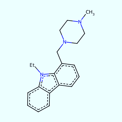 CCn1c2ccccc2c2cccc(CN3CCN(C)CC3)c21